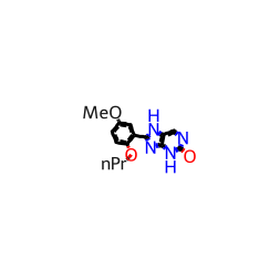 CCCOc1ccc(OC)cc1-c1nc2[nH]c(=O)ncc2[nH]1